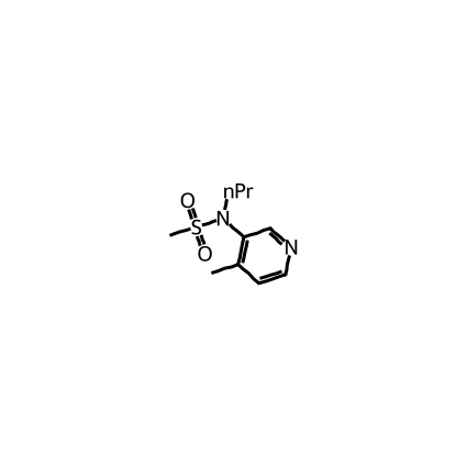 CCCN(c1cnccc1C)S(C)(=O)=O